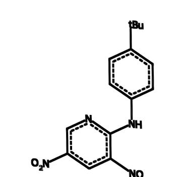 CC(C)(C)c1ccc(Nc2ncc([N+](=O)[O-])cc2[N+](=O)[O-])cc1